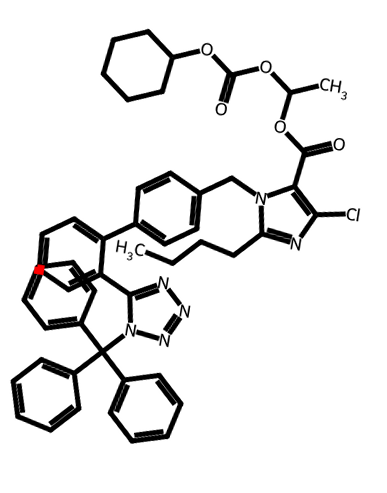 CCCCc1nc(Cl)c(C(=O)OC(C)OC(=O)OC2CCCCC2)n1Cc1ccc(-c2ccccc2-c2nnnn2C(c2ccccc2)(c2ccccc2)c2ccccc2)cc1